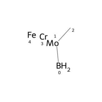 [BH2][Mo][CH3].[Cr].[Fe]